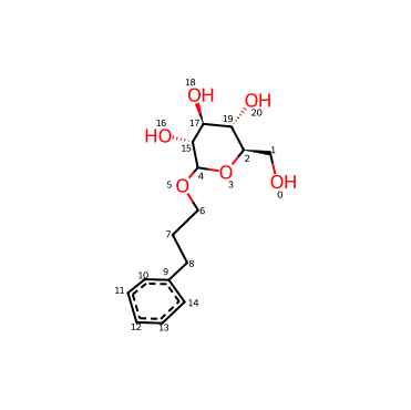 OC[C@H]1OC(OCCCc2ccccc2)[C@H](O)[C@@H](O)[C@@H]1O